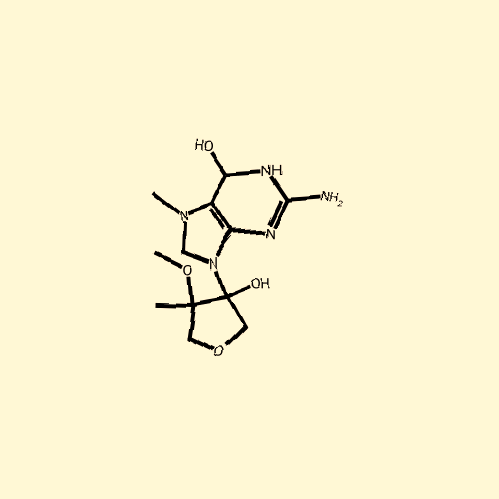 COC1(C)COCC1(O)N1CN(C)C2=C1N=C(N)NC2O